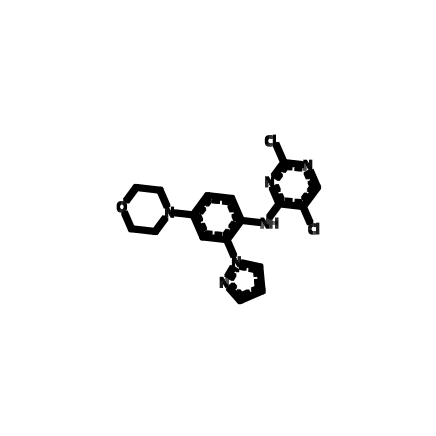 Clc1ncc(Cl)c(Nc2ccc(N3CCOCC3)cc2-n2cccn2)n1